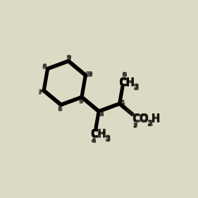 CC(C(=O)O)C(C)C1CCCCC1